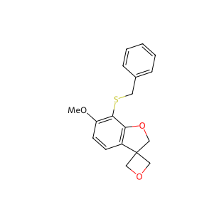 COc1ccc2c(c1SCc1ccccc1)OCC21COC1